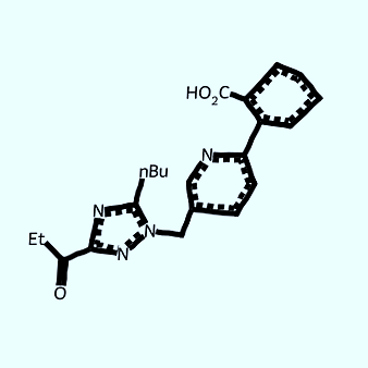 CCCCc1nc(C(=O)CC)nn1Cc1ccc(-c2ccccc2C(=O)O)nc1